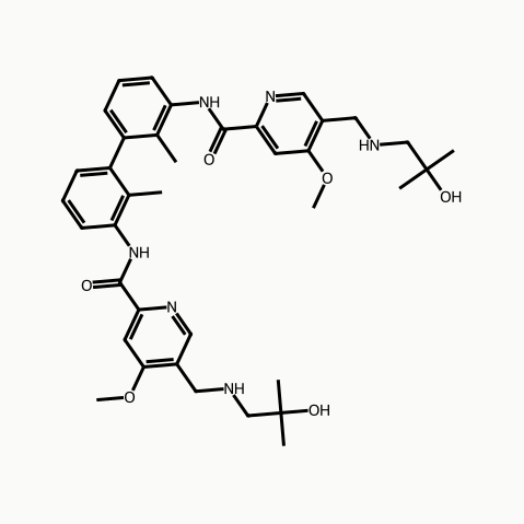 COc1cc(C(=O)Nc2cccc(-c3cccc(NC(=O)c4cc(OC)c(CNCC(C)(C)O)cn4)c3C)c2C)ncc1CNCC(C)(C)O